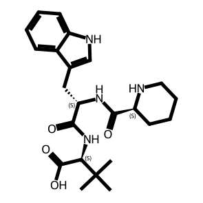 CC(C)(C)[C@H](NC(=O)[C@H](Cc1c[nH]c2ccccc12)NC(=O)[C@@H]1CCCCN1)C(=O)O